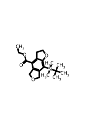 CCOC(=O)c1c2c(c([Si](C)(C)C(C)(C)C)c3c1CCO3)COC2